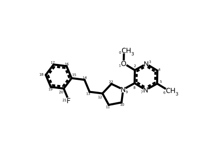 COc1ncc(C)nc1N1CCC(CCc2ccccc2F)C1